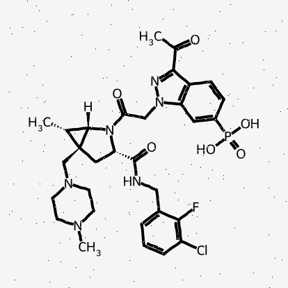 CC(=O)c1nn(CC(=O)N2[C@H]3[C@@H](C)[C@@]3(CN3CCN(C)CC3)C[C@H]2C(=O)NCc2cccc(Cl)c2F)c2cc(P(=O)(O)O)ccc12